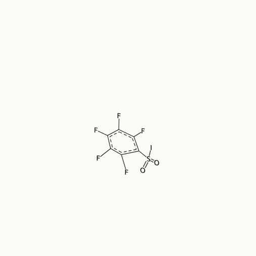 O=S(=O)(I)c1c(F)c(F)c(F)c(F)c1F